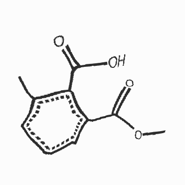 COC(=O)c1cccc(C)c1C(=O)O